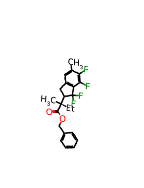 CC[C@](C)(C(=O)OCc1ccccc1)C1Cc2cc(C)c(F)c(F)c2C1(F)F